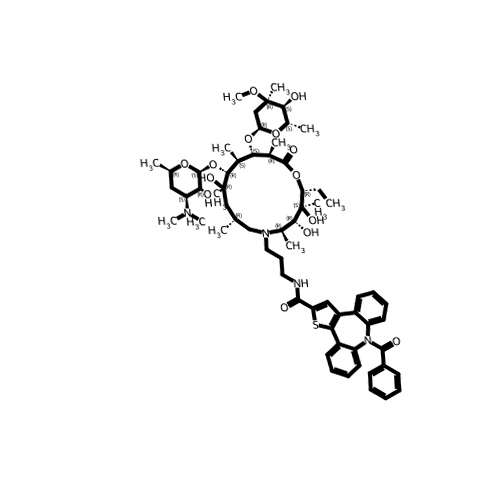 CC[C@H]1OC(=O)[C@H](C)[C@@H](O[C@H]2C[C@@](C)(OC)[C@@H](O)[C@H](C)O2)[C@H](C)[C@@H](O[C@@H]2O[C@H](C)C[C@H](N(C)C)[C@H]2O)[C@](C)(O)C[C@@H](C)CN(CCCNC(=O)c2cc3c(s2)-c2ccccc2N(C(=O)c2ccccc2)c2ccccc2-3)[C@H](C)[C@@H](O)[C@]1(C)O